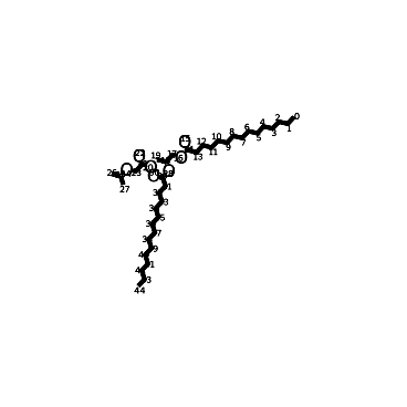 CCCCCCCCCCCCCCC(=O)OCC(COC(=O)COC(C)C)OC(=O)CCCCCCCCCCCCCC